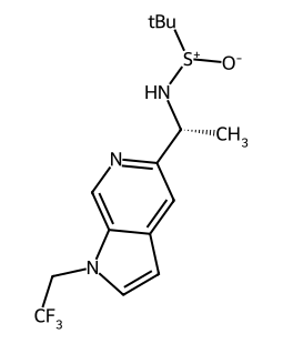 C[C@@H](N[S+]([O-])C(C)(C)C)c1cc2ccn(CC(F)(F)F)c2cn1